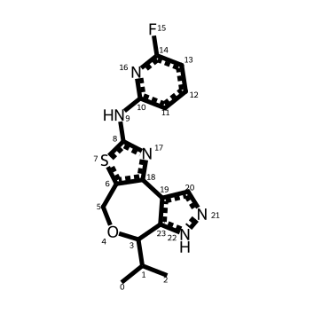 CC(C)C1OCc2sc(Nc3cccc(F)n3)nc2-c2cn[nH]c21